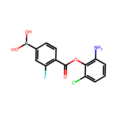 Nc1cccc(Cl)c1OC(=O)c1ccc(B(O)O)cc1F